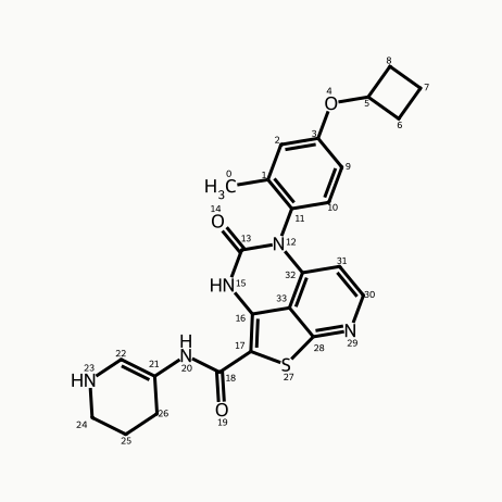 Cc1cc(OC2CCC2)ccc1N1C(=O)Nc2c(C(=O)NC3=CNCCC3)sc3nccc1c23